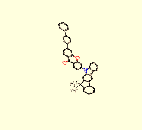 CC1(C)c2ccccc2-c2cc3c4ccccc4n(-c4ccc5c(=O)c6ccc(-c7ccc(-c8ccccc8)cc7)cc6oc5c4)c3cc21